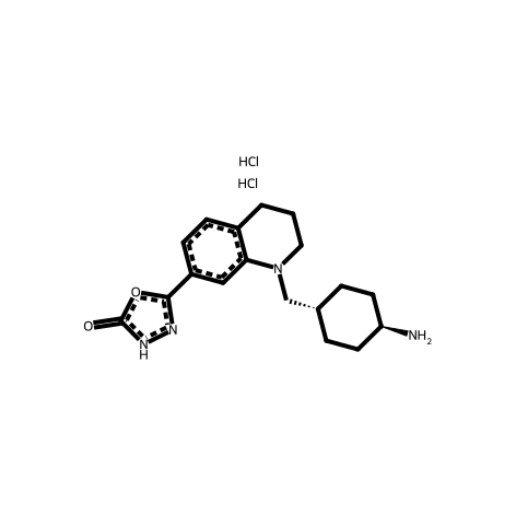 Cl.Cl.N[C@H]1CC[C@H](CN2CCCc3ccc(-c4n[nH]c(=O)o4)cc32)CC1